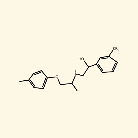 Cc1ccc(OCC(C)NCC(O)c2cccc(C(F)(F)F)c2)cc1